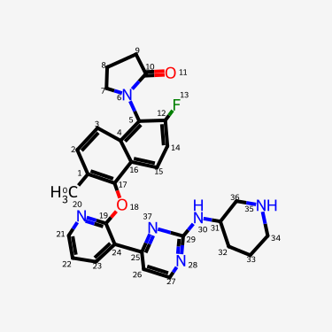 Cc1ccc2c(N3CCCC3=O)c(F)ccc2c1Oc1ncccc1-c1ccnc(NC2CCCNC2)n1